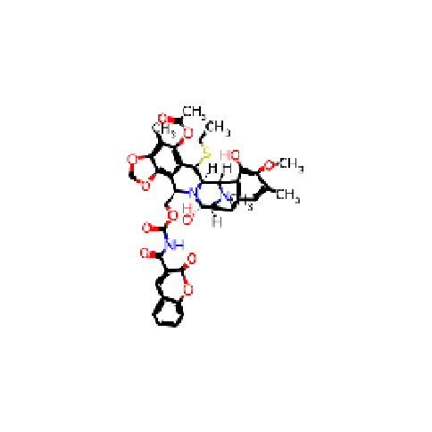 CCS[C@@H]1c2c(OC(C)=O)c(C)c3c(c2[C@H](COC(=O)NC(=O)c2cc4ccccc4oc2=O)N2[C@@H]1[C@@H]1c4c(cc(C)c(OC)c4O)C[C@@H]([C@@H]2O)N1C)OCO3